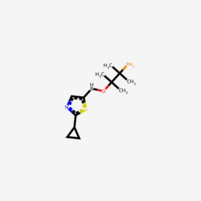 CC(C)(P)C(C)(C)OBc1cnc(C2CC2)s1